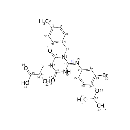 Cc1ccc(Cn2c(=O)n(C[C@H](C)C(=O)O)c(=O)[nH]/c2=N\c2ccc(OC(C)C)c(Br)c2)cc1